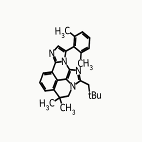 Cc1cccc(C)c1-c1cnc2c3cccc4c3c3c(nc(CC(C)(C)C)n3CC4(C)C)n12